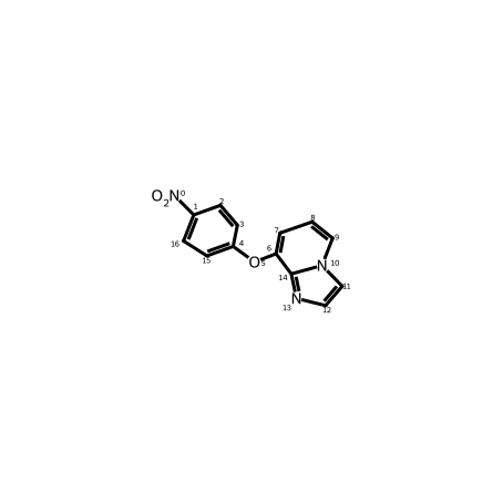 O=[N+]([O-])c1ccc(Oc2cccn3ccnc23)cc1